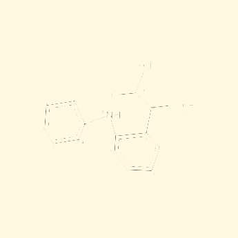 CCOC(=O)C(c1ccccc1Nc1ccccc1)C(C)Cl